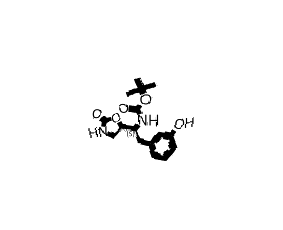 CC(C)(C)OC(=O)N[C@@H](Cc1cccc(O)c1)[C@H]1CNC(=O)O1